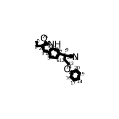 CCc1cc2ccc([C@@](C)(C#N)CCOc3ccccc3)cc2[nH]c1=O